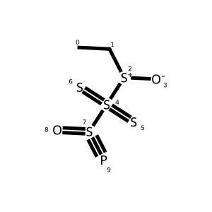 CC[S+]([O-])S(=S)(=S)S(=O)#P